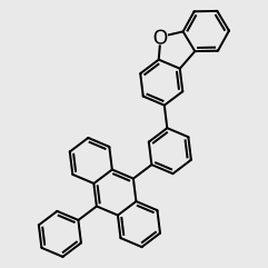 c1ccc(-c2c3ccccc3c(-c3cccc(-c4ccc5oc6ccccc6c5c4)c3)c3ccccc23)cc1